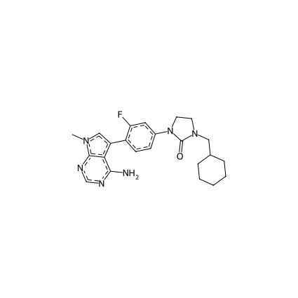 Cn1cc(-c2ccc(N3CCN(CC4CCCCC4)C3=O)cc2F)c2c(N)ncnc21